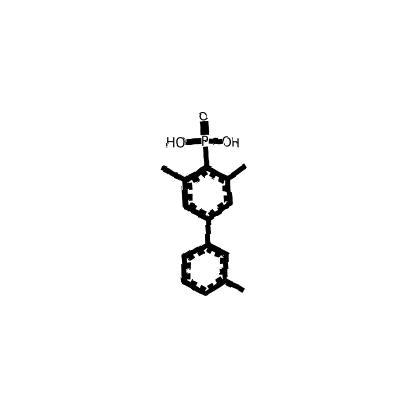 Cc1cccc(-c2cc(C)c(P(=O)(O)O)c(C)c2)c1